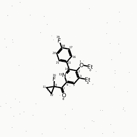 CCOc1c(CC)cc(C(=O)C2(F)CC2)nc1-c1ccc(F)cc1